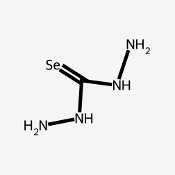 NNC(=[Se])NN